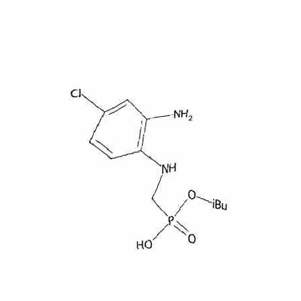 CCC(C)OP(=O)(O)CNc1ccc(Cl)cc1N